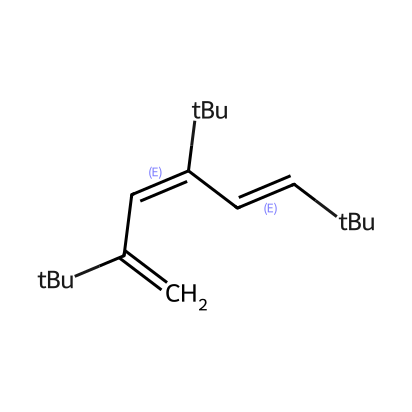 C=C(/C=C(\C=C\C(C)(C)C)C(C)(C)C)C(C)(C)C